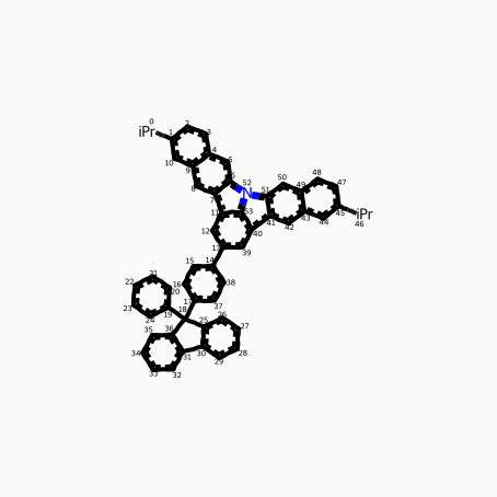 CC(C)c1ccc2cc3c(cc2c1)c1cc(-c2ccc(C4(c5ccccc5)c5ccccc5-c5ccccc54)cc2)cc2c4cc5cc(C(C)C)ccc5cc4n3c12